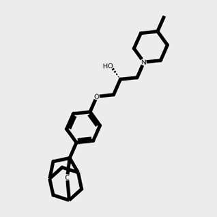 CC1CCN(C[C@@H](O)COc2ccc(C34CC5CC(CC3C5)C4)cc2)CC1